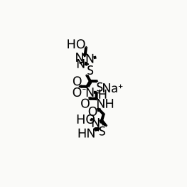 Cn1c(CO)nnc1SCC1=C(C(=O)[O-])N2C(=O)C(NC(=O)Cc3csc(=N)n3O)[C@@H]2SC1.[Na+]